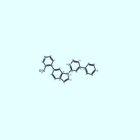 O=[N+]([O-])c1cnccc1-c1ccc2ccn(-c3cc(-c4ccccc4)ccn3)c2c1